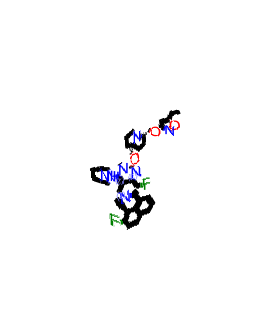 C#Cc1c(F)ccc2cccc(C(=C)\N=C/C(=C(/N=C)N3CC4CCC(C3)N4)C(/CF)=N\COC[C@]34CCCN3[C@H](COc3cc(CC)on3)CC4)c12